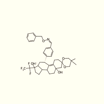 CC1(C)COC2(CCC3=C4C(CCC3(O)C2)C2CCC(O)(C(F)(F)C(F)(F)F)[C@@]2(C)C[C@@H]4c2ccc(/C=N\OCc3ccccc3)cc2)OC1